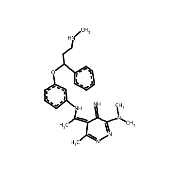 CNCCC(Oc1cccc(N/C(C)=C2\C(=N)C(N(C)C)=NN=C2C)c1)c1ccccc1